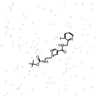 CC(C)(C)OC(=O)NCCn1cc(C(=O)NCc2ncccc2F)cn1